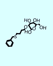 OC[C@H]1O[C@@H](O)[C@H](OCCCCSCc2ccccc2)[C@@H](O)[C@@H]1O